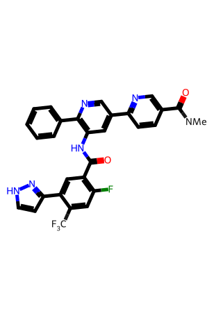 CNC(=O)c1ccc(-c2cnc(-c3ccccc3)c(NC(=O)c3cc(-c4cc[nH]n4)c(C(F)(F)F)cc3F)c2)nc1